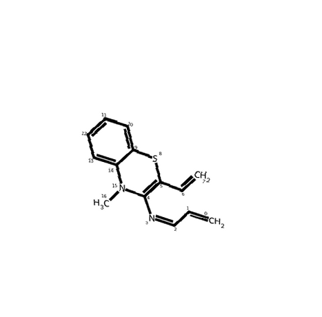 C=C/C=N\C1=C(C=C)Sc2ccccc2N1C